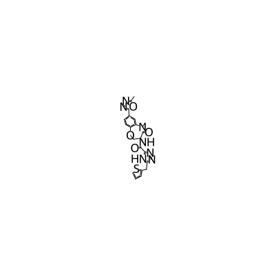 Cc1nnc(-c2ccc3c(c2)N(C)C(=O)C(NC(=O)c2nnc(Cc4cccs4)[nH]2)CO3)o1